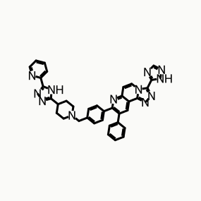 c1ccc(-c2cc3c(ccn4c(-c5ncn[nH]5)nnc34)nc2-c2ccc(CN3CCC(c4nnc(-c5ccccn5)[nH]4)CC3)cc2)cc1